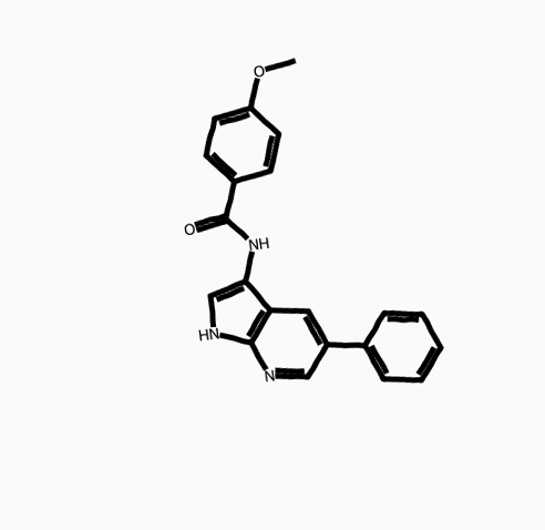 COc1ccc(C(=O)Nc2c[nH]c3ncc(-c4ccccc4)cc23)cc1